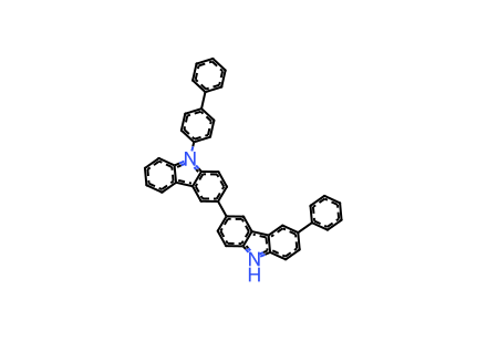 c1ccc(-c2ccc(-n3c4ccccc4c4cc(-c5ccc6[nH]c7ccc(-c8ccccc8)cc7c6c5)ccc43)cc2)cc1